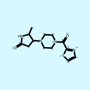 CC1NC(=O)CC1N1CCN(C(=O)c2nccs2)CC1